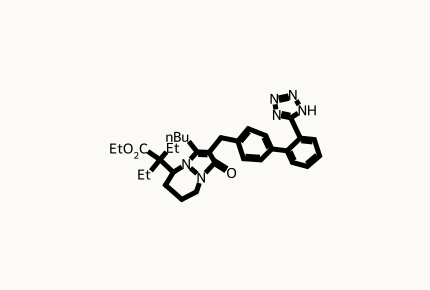 CCCCc1c(Cc2ccc(-c3ccccc3-c3nnn[nH]3)cc2)c(=O)n2n1C(C(CC)(CC)C(=O)OCC)CCC2